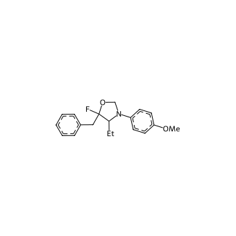 CCC1N(c2ccc(OC)cc2)COC1(F)Cc1ccccc1